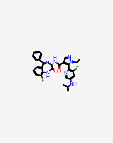 CCn1ncc(C(=O)N[C@H]2N=C(c3ccccc3)c3cccc(F)c3NC2=O)c1-c1ncc(NC(C)C)cc1F